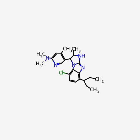 CCC(CC)c1ccc(Cl)c2c1nc1n2C(c2cnc(N(C)C)cc2C)C(C)N1